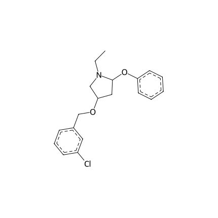 CCN1CC(OCc2cccc(Cl)c2)CC1Oc1ccccc1